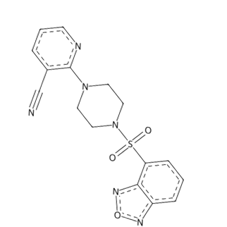 N#Cc1cccnc1N1CCN(S(=O)(=O)c2cccc3nonc23)CC1